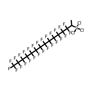 CC(C(F)(F)C(F)(F)C(F)(F)C(F)(F)C(F)(F)C(F)(F)C(F)(F)C(F)(F)C(F)(F)C(F)(F)C(F)(F)C(F)(F)C(F)(F)F)[Si](Cl)(Cl)Cl